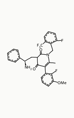 COc1cccc(C2=C(C)N(Cc3c(F)cccc3C(F)(F)F)C(=O)C(C[C@@H](N)c3ccccc3)C2=O)c1F